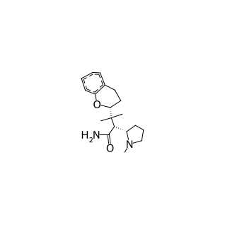 CN1CCC[C@H]1C(C(N)=O)C(C)(C)[C@H]1CCc2ccccc2O1